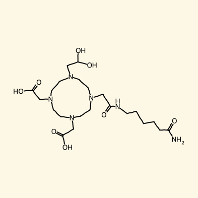 NC(=O)CCCCCNC(=O)CN1CCN(CC(=O)O)CCN(CC(=O)O)CCN(CC(O)O)CC1